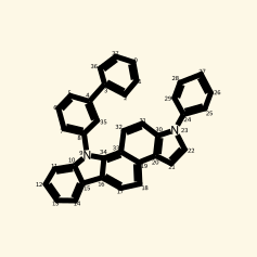 c1ccc(-c2cccc(-n3c4ccccc4c4ccc5c6ccn(-c7ccccc7)c6ccc5c43)c2)cc1